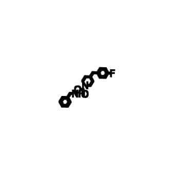 O=C(ONCc1ccccc1)N1CCC(Cc2ccc(F)cc2)CC1